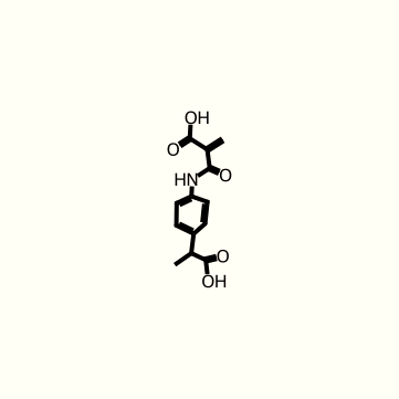 C=C(C(=O)O)C(=O)Nc1ccc(C(C)C(=O)O)cc1